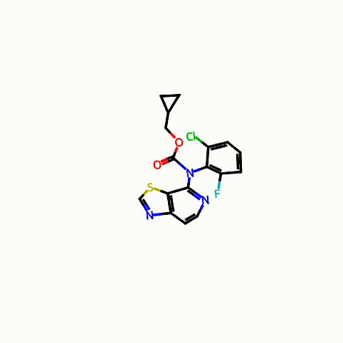 O=C(OCC1CC1)N(c1c(F)cccc1Cl)c1nccc2ncsc12